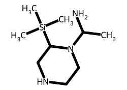 CC(N)N1CCNCC1[Si](C)(C)C